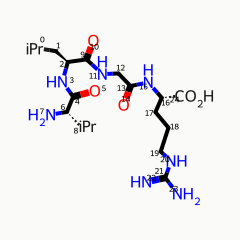 CC(C)C[C@H](NC(=O)[C@@H](N)C(C)C)C(=O)NCC(=O)N[C@@H](CCCNC(=N)N)C(=O)O